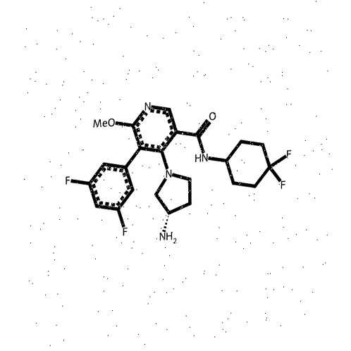 COc1ncc(C(=O)NC2CCC(F)(F)CC2)c(N2CC[C@H](N)C2)c1-c1cc(F)cc(F)c1